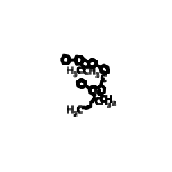 C=C/C=C\C=C(/C)c1cc(-c2ccccc2)cc(C(/C=C\C=C)=C/Cc2cccc(-c3ccc4c(c3)C(C)(C)c3cc(-c5ccccc5)ccc3-4)c2)n1